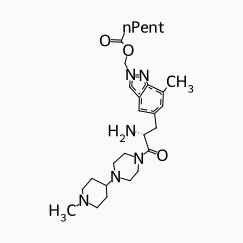 CCCCCC(=O)OCn1cc2cc(C[C@@H](N)C(=O)N3CCN(C4CCN(C)CC4)CC3)cc(C)c2n1